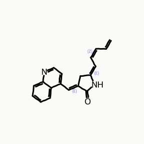 C=C/C=C\C=C1/C/C(=C\c2ccnc3ccccc23)C(=O)N1